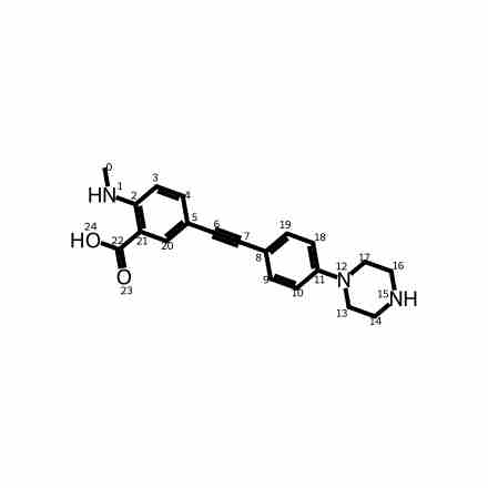 CNc1ccc(C#Cc2ccc(N3CCNCC3)cc2)cc1C(=O)O